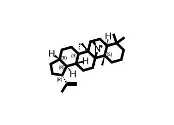 C=C(C)[C@@H]1CC[C@@H]2CC[C@]3(C)[C@H](CCC4(N(C)C)[C@@]5(C)CCCC(C)(C)[C@@H]5CC[C@]43C)[C@H]21